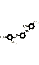 Nc1ccc(/N=N/c2cccc(/N=N/c3ccc(N)cc3N)c2)c(N)c1